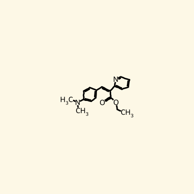 CCOC(=O)C(=Cc1ccc(N(C)C)cc1)c1ccccn1